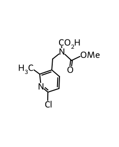 COC(=O)N(Cc1ccc(Cl)nc1C)C(=O)O